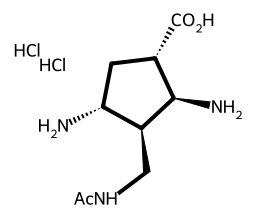 CC(=O)NC[C@@H]1[C@H](N)[C@@H](C(=O)O)C[C@H]1N.Cl.Cl